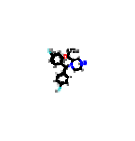 COC(=O)C1CNCCN1C(c1ccc(F)cc1)c1ccc(F)cc1